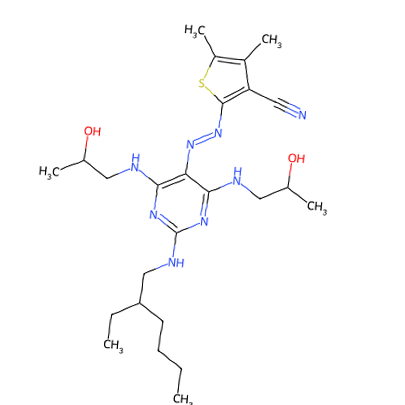 CCCCC(CC)CNc1nc(NCC(C)O)c(N=Nc2sc(C)c(C)c2C#N)c(NCC(C)O)n1